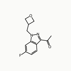 CC(=O)c1nn(CC2COC2)c2cc(F)ccc12